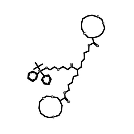 CC(C)(C)[Si](OCCOCCNC(CCCCCOC(=O)C1CCCCCCCCCCCCC1)CCCCCOC(=O)C1CCCCCCCCCCCCC1)(c1ccccc1)c1ccccc1